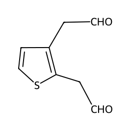 O=CCc1ccsc1CC=O